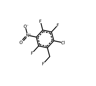 O=[N+]([O-])c1c(F)c(F)c(Cl)c(CF)c1F